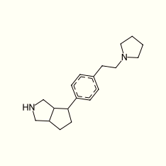 c1cc(C2CCC3CNCC32)ccc1CCN1CCCC1